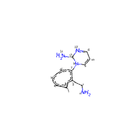 NCc1ccccc1N1C=CC=NC1N